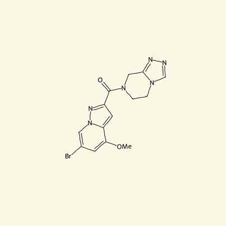 COc1cc(Br)cn2nc(C(=O)N3CCn4cnnc4C3)cc12